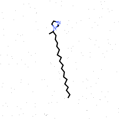 CCCCCCCCCCCCCCCCCCC(C)N1C=NCC1